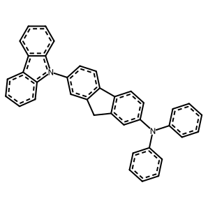 c1ccc(N(c2ccccc2)c2ccc3c(c2)Cc2cc(-n4c5ccccc5c5ccccc54)ccc2-3)cc1